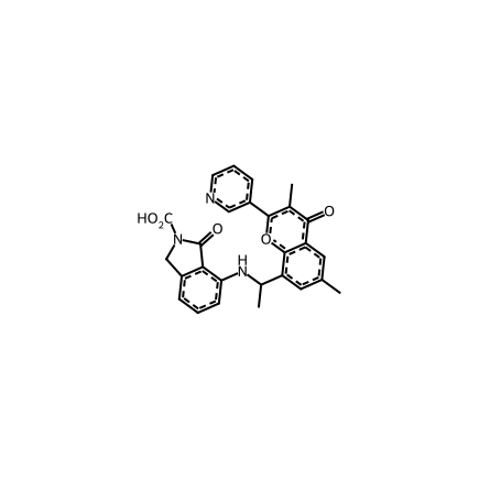 Cc1cc(C(C)Nc2cccc3c2C(=O)N(C(=O)O)C3)c2oc(-c3cccnc3)c(C)c(=O)c2c1